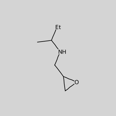 CCC(C)NCC1CO1